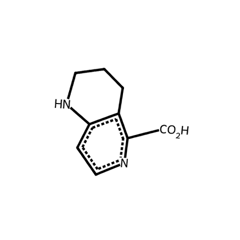 O=C(O)c1nccc2c1CCCN2